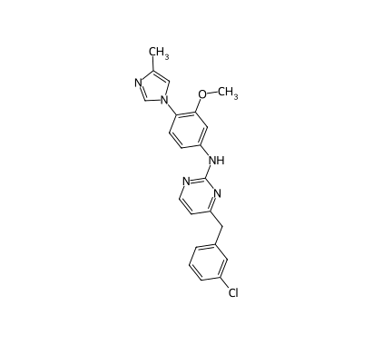 COc1cc(Nc2nccc(Cc3cccc(Cl)c3)n2)ccc1-n1cnc(C)c1